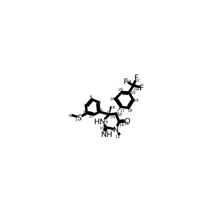 CSc1cccc([C@@]2(C)NC(=N)N(C)C(=O)[C@H]2c2ccc(C(F)(F)F)cc2)c1